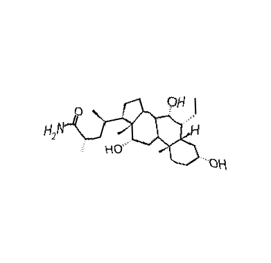 CC[C@H]1[C@@H](O)C2C3CC[C@H]([C@H](C)C[C@H](C)C(N)=O)[C@@]3(C)[C@@H](O)CC2[C@@]2(C)CC[C@@H](O)C[C@@H]12